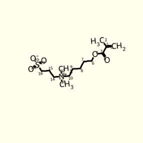 C=C(C)C(=O)OCCCCC[N+](C)(C)CCCS(=O)(=O)[O-]